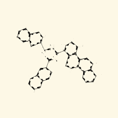 c1ccc2cc(-c3nc(-c4ccc5ccccc5c4)nc(-c4cccc5c4ccc4c6ccccc6ccc54)n3)ccc2c1